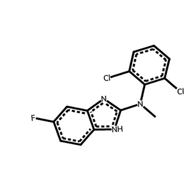 CN(c1nc2cc(F)ccc2[nH]1)c1c(Cl)cccc1Cl